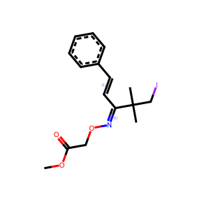 COC(=O)CO/N=C(\C=C\c1ccccc1)C(C)(C)CI